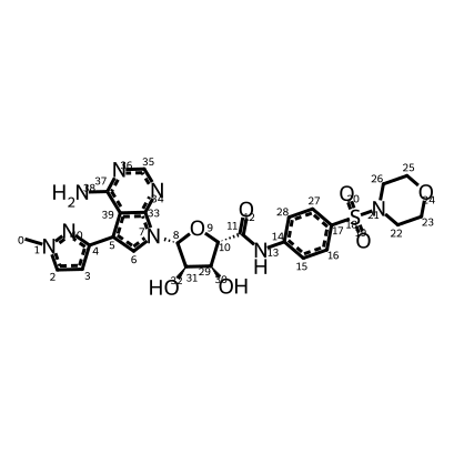 Cn1ccc(-c2cn([C@@H]3O[C@H](C(=O)Nc4ccc(S(=O)(=O)N5CCOCC5)cc4)[C@@H](O)[C@H]3O)c3ncnc(N)c23)n1